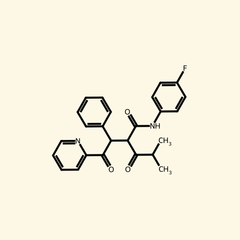 CC(C)C(=O)C(C(=O)Nc1ccc(F)cc1)C(C(=O)c1ccccn1)c1ccccc1